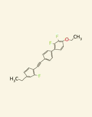 CCOc1ccc(-c2ccc(C#Cc3ccc(CC)cc3F)cc2)c(F)c1F